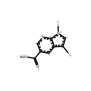 COC(=O)c1cnc2c(c1)c(I)cn2I